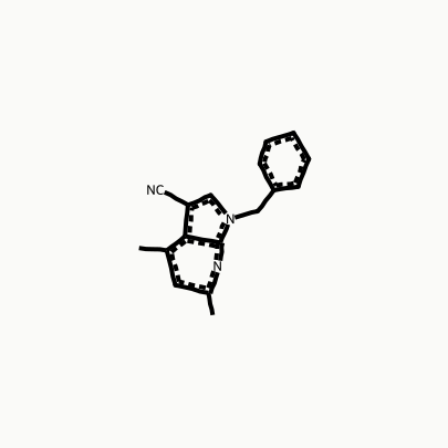 Cc1cc(C)c2c(C#N)cn(Cc3ccccc3)c2n1